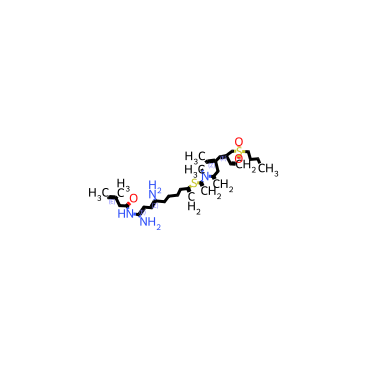 C=C/C(=C\C(=C/C)CC(=C)N(C)C(=C)SC(=C)CCCC/C(N)=C/C=C(\N)NC(=O)C/C(C)=C/C)CS(=O)(=O)CCCC